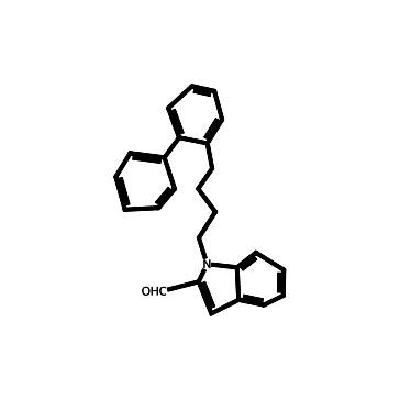 O=Cc1cc2ccccc2n1CCCCc1ccccc1-c1ccccc1